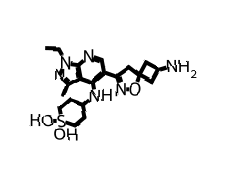 CCn1nc(C)c2c(NC3CCS(O)(O)CC3)c(C3=NOC4(C3)CC(N)C4)cnc21